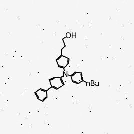 CCCCc1ccc(N(c2ccc(CCCO)cc2)c2ccc(-c3ccccc3)cc2)cc1